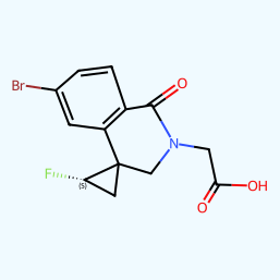 O=C(O)CN1CC2(C[C@@H]2F)c2cc(Br)ccc2C1=O